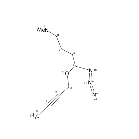 CC#CCOC(CCCNC)N=[N+]=[N-]